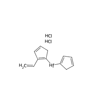 C=CC1=[C]([Hf][C]2=CC=CC2)CC=C1.Cl.Cl